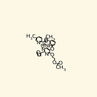 COc1cccc(Oc2c(NS(=O)(=O)c3ccc(C)cn3)nc(-c3ccco3)nc2OCCOC(C)=O)c1